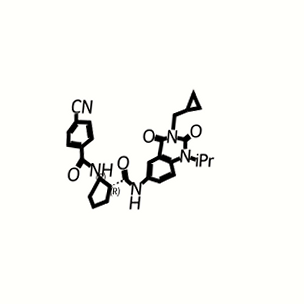 CC(C)n1c(=O)n(CC2CC2)c(=O)c2cc(NC(=O)[C@@H]3CCC[C@@H]3NC(=O)c3ccc(C#N)cc3)ccc21